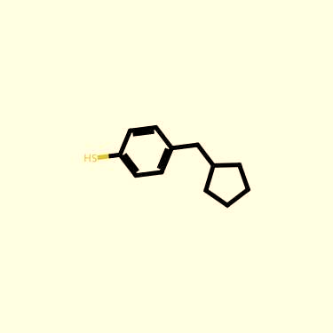 Sc1ccc(CC2CCCC2)cc1